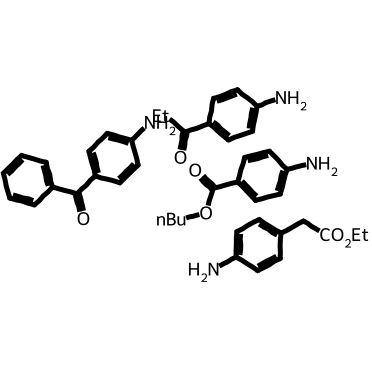 CCC(=O)c1ccc(N)cc1.CCCCOC(=O)c1ccc(N)cc1.CCOC(=O)Cc1ccc(N)cc1.Nc1ccc(C(=O)c2ccccc2)cc1